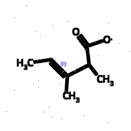 C/C=C(\C)C(C)C([O])=O